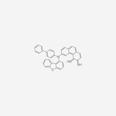 N=C1C=Cc2ccc3ccc(N(c4ccc(-c5ccccc5)cc4)c4cccc5sc6ccccc6c45)cc3c2C1=N